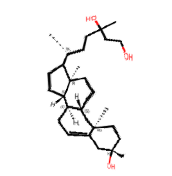 C[C@H](CCC(C)(O)CCO)C1CC[C@H]2[C@@H]3CC=C4C[C@@](C)(O)CC[C@]4(C)[C@H]3CC[C@]12C